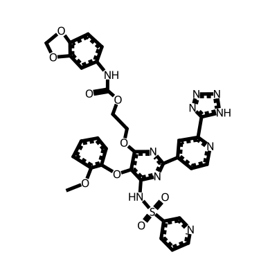 COc1ccccc1Oc1c(NS(=O)(=O)c2cccnc2)nc(-c2ccnc(-c3nnn[nH]3)c2)nc1OCCOC(=O)Nc1ccc2c(c1)OCO2